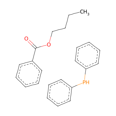 CCCCOC(=O)c1ccccc1.c1ccc(Pc2ccccc2)cc1